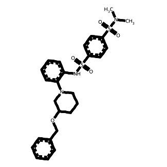 CN(C)S(=O)(=O)c1ccc(S(=O)(=O)Nc2ccccc2N2CCCC(OCc3ccccc3)C2)cc1